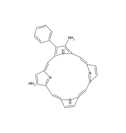 Nc1c(-c2ccccc2)c2cc3nc(cc4ccc(cc5nc(cc1[nH]2)C=C5)[nH]4)C=C3.[AlH3]